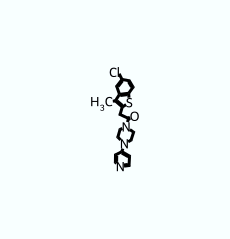 Cc1c(CC(=O)N2CCN(c3ccncc3)CC2)sc2ccc(Cl)cc12